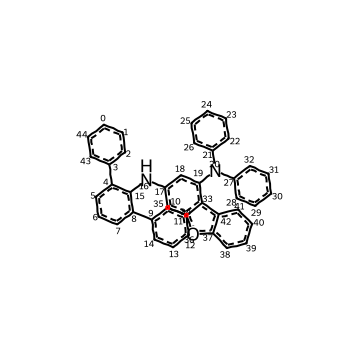 c1ccc(-c2cccc(-c3ccccc3)c2Nc2cc(N(c3ccccc3)c3ccccc3)c3c(c2)oc2ccccc23)cc1